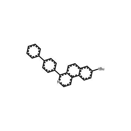 CC(C)(C)c1ccc2c(ccc3c(-c4ccc(-c5ccccc5)cc4)nccc32)c1